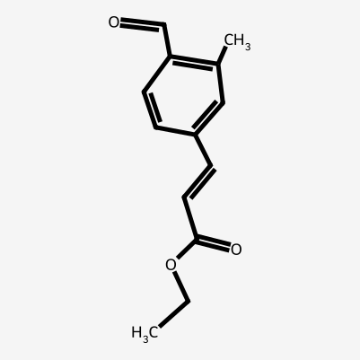 CCOC(=O)/C=C/c1ccc(C=O)c(C)c1